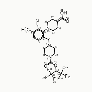 Cc1ccc(CN2CCN(C(=O)OC(C(F)(F)F)C(F)(F)F)CC2)c(N2CCC(C(=O)O)CC2)c1F